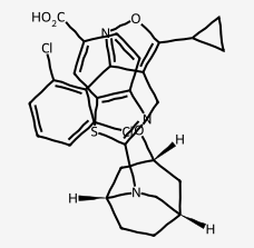 O=C(O)c1ccc2nc(N3C[C@H]4CC[C@@H]3C[C@H](OCc3c(-c5c(Cl)cccc5Cl)noc3C3CC3)C4)sc2c1